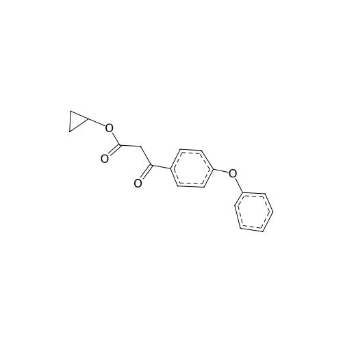 O=C(CC(=O)c1ccc(Oc2ccccc2)cc1)OC1CC1